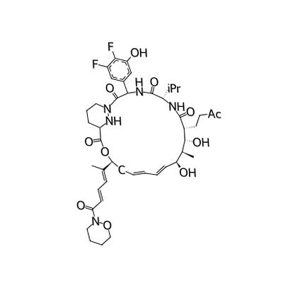 CC(=O)CC[C@H]1C(=O)N[C@@H](C(C)C)C(=O)NC(c2cc(O)c(F)c(F)c2)C(=O)N2CCCC(N2)C(=O)O[C@H](/C(C)=C/C=C/C(=O)N2CCCCO2)C/C=C/C=C/[C@H](O)[C@H](C)[C@H]1O